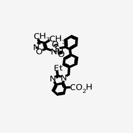 CCc1nc2cccc(C(=O)O)c2n1Cc1ccc(-c2ccccc2S(=O)(=O)Nc2onc(C)c2C)cc1